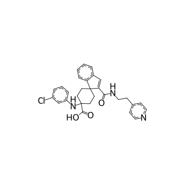 O=C(NCCc1ccncc1)C1=Cc2ccccc2C12CCC(Nc1cccc(Cl)c1)(C(=O)O)CC2